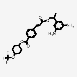 CC(COC(=O)C=Cc1ccc(C(=O)OC2CCC(OC(F)(F)F)CC2)cc1)c1cc(N)cc(N)c1